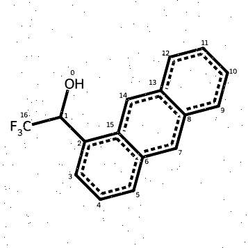 OC(c1cccc2cc3ccccc3cc12)C(F)(F)F